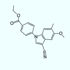 CCOC(=O)c1ccc(-n2cc(C#N)c3cc(OC)c(C)cc32)cc1